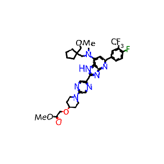 COCC1(CN(C)c2cc(-c3ccc(F)c(C(F)(F)F)c3)nc3nc(-c4cnc(N5CCC(OCC(=O)OC)CC5)cn4)[nH]c23)CCCC1